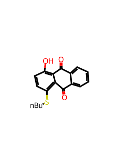 CCCCSc1ccc(O)c2c1C(=O)c1ccccc1C2=O